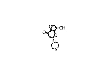 Cc1coc2c(=O)cc(N3CCSCC3)oc12